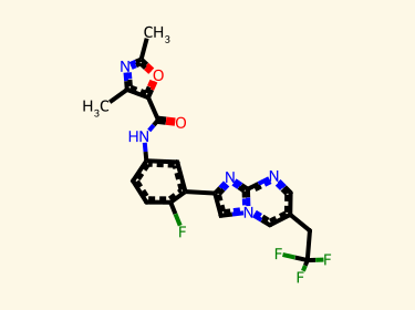 Cc1nc(C)c(C(=O)Nc2ccc(F)c(-c3cn4cc(CC(F)(F)F)cnc4n3)c2)o1